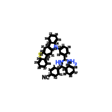 N#Cc1ccc(C(NCc2cccc(-n3c4ccccc4c4cc5sc6ccccc6c5cc43)c2)c2ccccc2N)cc1